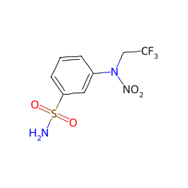 NS(=O)(=O)c1cccc(N(CC(F)(F)F)[N+](=O)[O-])c1